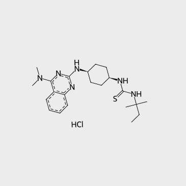 CCC(C)(C)NC(=S)N[C@H]1CC[C@@H](Nc2nc(N(C)C)c3ccccc3n2)CC1.Cl